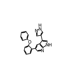 c1ccc(Oc2ccccc2-c2cnc3[nH]cc(-c4cn[nH]c4)c3c2)cc1